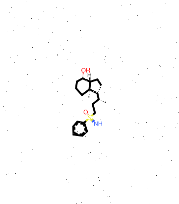 C[C@H](CCS(=N)(=O)c1ccccc1)[C@H]1CC[C@H]2[C@@H](O)CCC[C@]12C